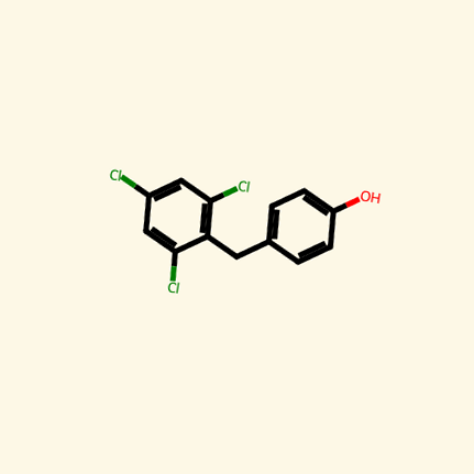 Oc1ccc(Cc2c(Cl)cc(Cl)cc2Cl)cc1